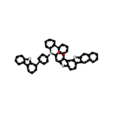 c1ccc(-c2ccccc2N(c2ccc(-c3cccc4c3oc3ccccc34)cc2)c2ccc3c(c2)sc2ccc4c5cc6ccccc6cc5oc4c23)cc1